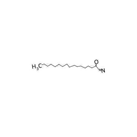 CCCCCCCCCCCCCCCC(=O)C#N